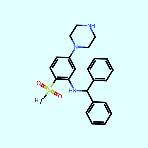 CS(=O)(=O)c1ccc(N2CCNCC2)cc1NC(c1ccccc1)c1ccccc1